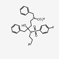 CC(C)CCN(C(O)(CCN(Cc1ccccc1)C(=O)O)Cc1ccccc1)S(=O)(=O)c1ccc(F)cc1